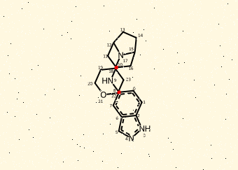 c1cc2[nH]ncc2cc1NC1CC2CCC(C1)N2C1CCOCC1